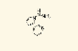 NNn1cccc1.c1ccncc1